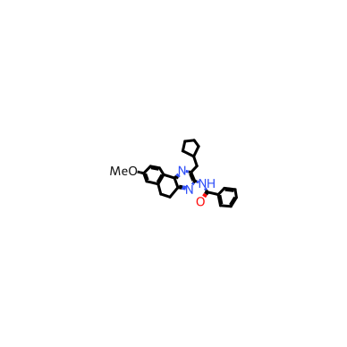 COc1ccc2c(c1)CCc1nc(NC(=O)c3ccccc3)c(CC3CCCC3)nc1-2